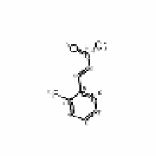 O=[N+]([O-])/C=C/c1ncccc1F